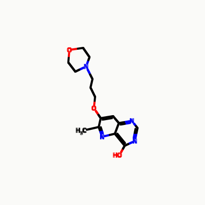 Cc1nc2c(O)ncnc2cc1OCCCN1CCOCC1